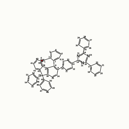 N#Cc1ccccc1-c1c(-c2ccc(-c3nc(-c4ccccc4)nc(-c4ccccc4)n3)cc2)ccc2c1-c1ccccc1C2(c1ccccc1)c1ccccc1